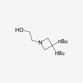 CCCCC1(CCCC)CN(CCO)C1